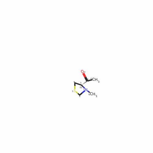 CC(=O)[C@H]1CSCN1C